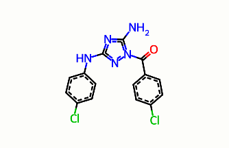 Nc1nc(Nc2ccc(Cl)cc2)nn1C(=O)c1ccc(Cl)cc1